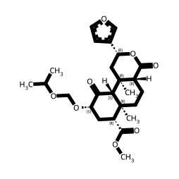 COC(=O)[C@@H]1C[C@H](OCOC(C)C)C(=O)[C@H]2[C@@]1(C)CC[C@H]1C(=O)O[C@@H](c3ccoc3)C[C@]21C